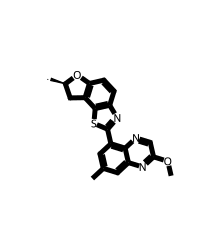 [CH2][C@@H]1Cc2c(ccc3nc(-c4cc(C)cc5nc(OC)cnc45)sc23)O1